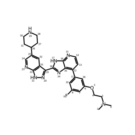 CN(C)CCOc1cc(F)cc(-c2ccnc3[nH]c(-c4n[nH]c5ncc(C6CCNCC6)cc45)nc23)c1